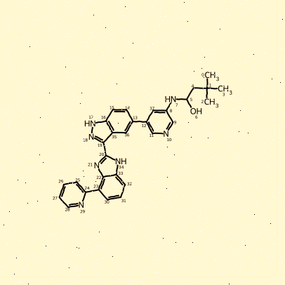 CC(C)(C)CC(O)Nc1cncc(-c2ccc3[nH]nc(-c4nc5c(-c6ccccn6)cccc5[nH]4)c3c2)c1